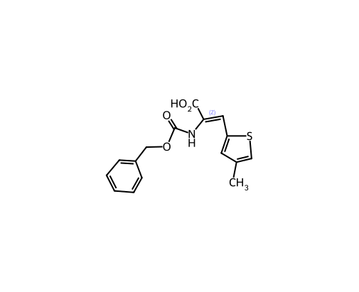 Cc1csc(/C=C(\NC(=O)OCc2ccccc2)C(=O)O)c1